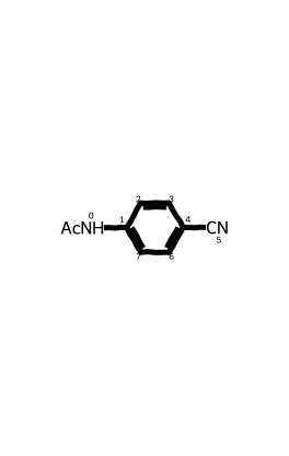 [CH2]C(=O)Nc1ccc(C#N)cc1